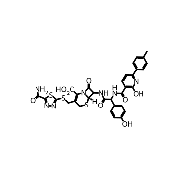 Cc1ccc(-c2ccc(C(=O)NC(C(=O)NC3C(=O)N4C(C(=O)O)=C(CSc5nnc(C(N)=O)s5)CS[C@@H]34)c3ccc(O)cc3)c(O)n2)cc1